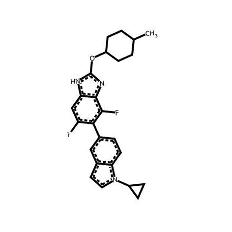 CC1CCC(Oc2nc3c(F)c(-c4ccc5c(ccn5C5CC5)c4)c(F)cc3[nH]2)CC1